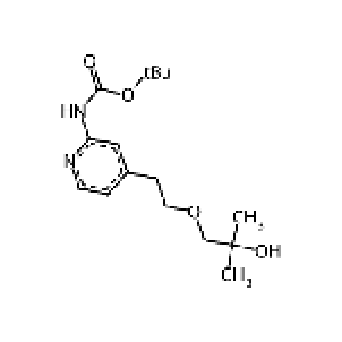 CC(C)(O)COCCc1ccnc(NC(=O)OC(C)(C)C)c1